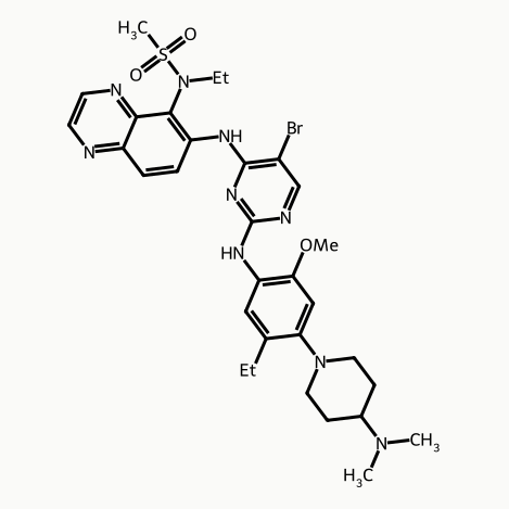 CCc1cc(Nc2ncc(Br)c(Nc3ccc4nccnc4c3N(CC)S(C)(=O)=O)n2)c(OC)cc1N1CCC(N(C)C)CC1